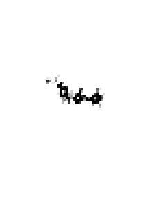 CCCC1CCC(C(F)(F)Oc2ccc(OCc3cc(F)c(F)c(F)c3)c(F)c2F)CC1